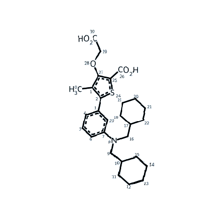 Cc1c(-c2cccc(N(CC3CCCCC3)CC3CCCCC3)c2)sc(C(=O)O)c1OCC(=O)O